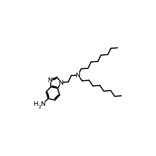 CCCCCCCCN(CCCCCCCC)CCn1cnc2cc(N)ccc21